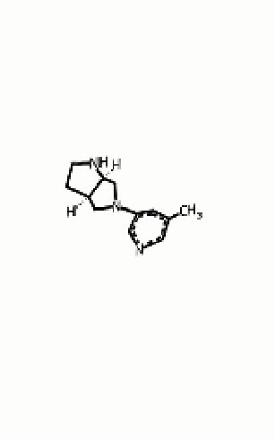 Cc1cncc(N2C[C@H]3CCN[C@H]3C2)c1